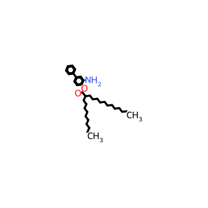 CCCCCCCCCCCCC(CCCCCCCCCC)C(=O)Oc1ccc(-c2ccccc2)cc1N